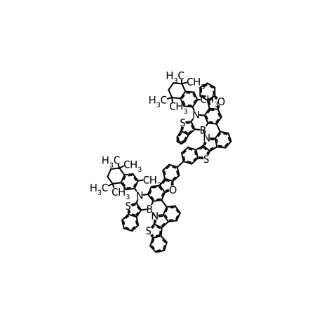 Cc1cc2c(cc1N1c3cc4c(oc5cc(-c6ccc7c(c6)sc6c8cccc9c8n(c76)B6c7c-9cc8oc9ccccc9c8c7N(c7cc8c(cc7C)C(C)(C)CCC8(C)C)c7sc8ccccc8c76)ccc54)c4c3B(c3c1sc1ccccc31)n1c3sc5ccccc5c3c3cccc-4c31)C(C)(C)CCC2(C)C